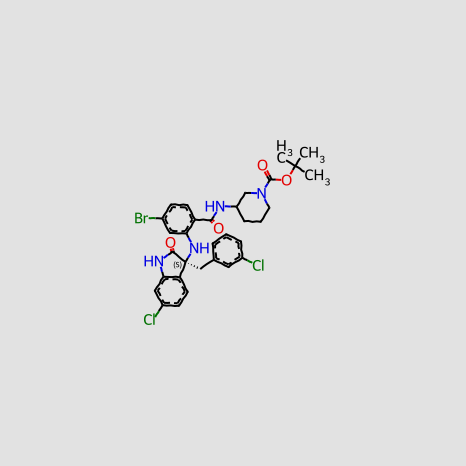 CC(C)(C)OC(=O)N1CCCC(NC(=O)c2ccc(Br)cc2N[C@]2(Cc3cccc(Cl)c3)C(=O)Nc3cc(Cl)ccc32)C1